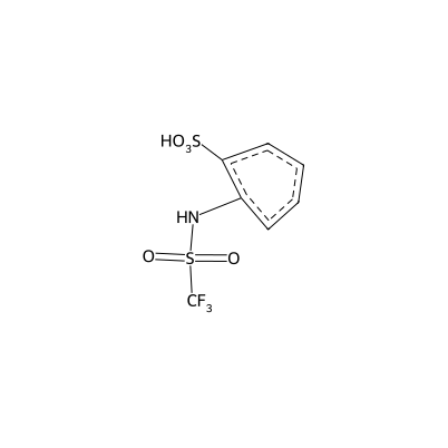 O=S(=O)(O)c1ccccc1NS(=O)(=O)C(F)(F)F